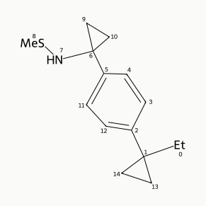 CCC1(c2ccc(C3(NSC)CC3)cc2)CC1